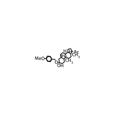 COc1ccc(CO[C@@]2(O)CC[C@@]3(C)C(=CC[C@H]4[C@@H]5CC[C@H](C(C)=O)[C@@]5(C)CC[C@@H]43)C2)cc1